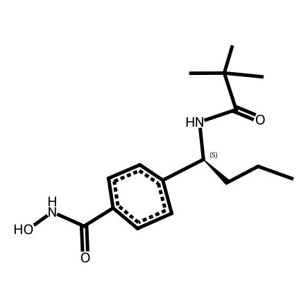 CCC[C@H](NC(=O)C(C)(C)C)c1ccc(C(=O)NO)cc1